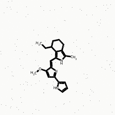 CCC1CCCc2c(C)[nH]c(C=C3N=C(c4ccc[nH]4)C=C3OC)c21